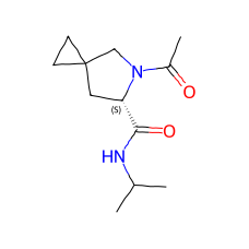 CC(=O)N1CC2(CC2)C[C@H]1C(=O)NC(C)C